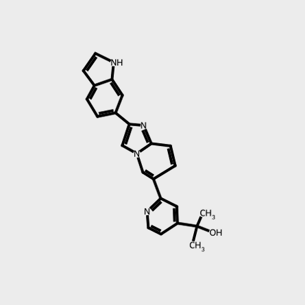 CC(C)(O)c1ccnc(-c2ccc3nc(-c4ccc5cc[nH]c5c4)cn3c2)c1